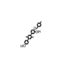 Cc1ccc(COc2ccc(-c3cc(C)c(-c4ccc(O)cc4)cc3C)cc2O)cc1